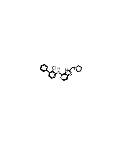 Clc1c(Nc2nccc3sc(CN4CCCC4)nc23)cccc1-c1ccccc1